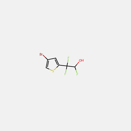 OC(F)C(F)(F)c1cc(Br)cs1